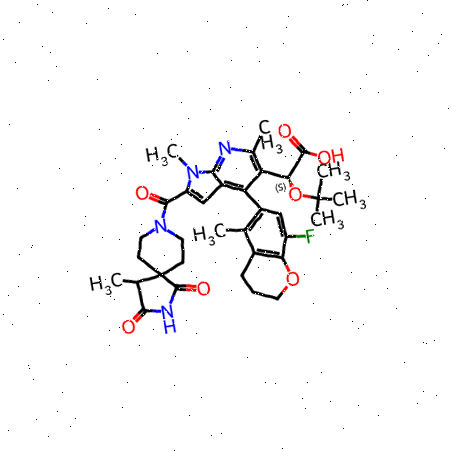 Cc1nc2c(cc(C(=O)N3CCC4(CC3)C(=O)NC(=O)C4C)n2C)c(-c2cc(F)c3c(c2C)CCCO3)c1[C@H](OC(C)(C)C)C(=O)O